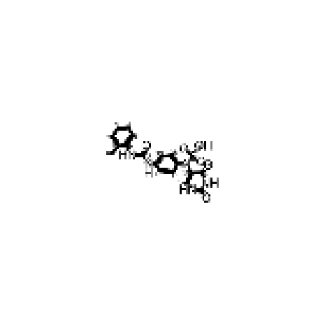 Cc1ccccc1NC(=O)Nc1ccc(N(c2c[nH]c(=O)[nH]c2=O)S(=O)(=O)O)cc1